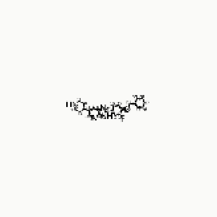 Fc1cc(-c2nc3cc(C4CCNCC4)cnc3[nH]2)ccc1OCc1ccccc1